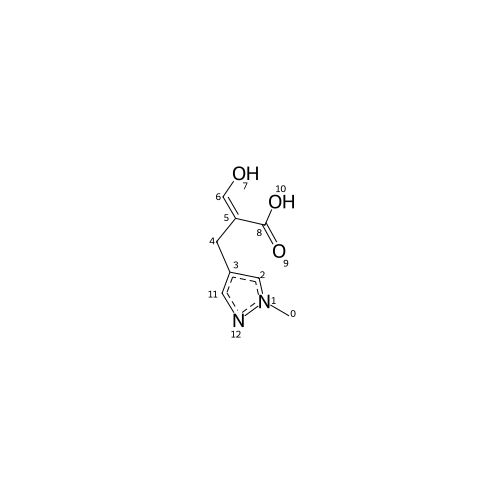 Cn1cc(CC(=CO)C(=O)O)cn1